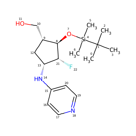 CC(C)(C)[Si](C)(C)O[C@@H]1[C@@H](CO)C[C@@H](Nc2[c]cncc2)[C@H]1F